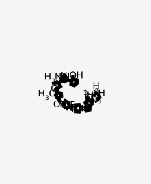 [2H]C1C=CN(c2cc3ccn(C4CCN(CC5(F)CCN(C(=O)c6ccc(C7CN(c8cc(-c9ccccc9O)nnc8N)CCO7)c(C)c6)CC5)CC4)c3cc2C)[C@@H]([2H])N1